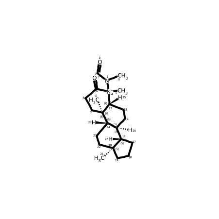 CN(C=O)[N+]1(C)C(=O)CC[C@@]2(C)[C@H]1CC[C@H]1[C@@H]3CCC[C@@]3(C)CC[C@@H]12